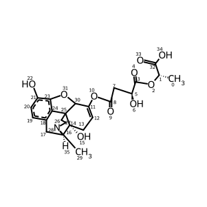 C[C@H](OC(=O)[C@@H](O)CC(=O)OC1=CC[C@@]2(O)[C@H]3Cc4ccc(O)c5c4C2(CCN3C)C1O5)C(=O)O